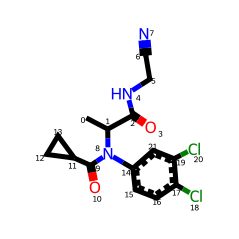 CC(C(=O)NCC#N)N(C(=O)C1CC1)c1ccc(Cl)c(Cl)c1